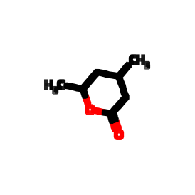 CC1CC(=O)OC(C)C1